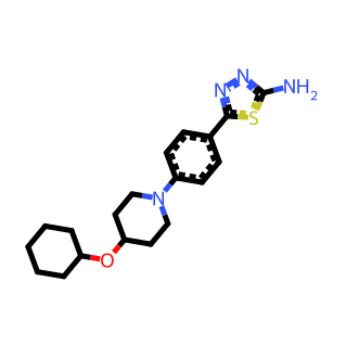 Nc1nnc(-c2ccc(N3CCC(OC4CCCCC4)CC3)cc2)s1